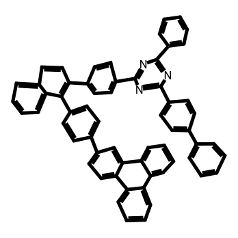 c1ccc(-c2ccc(-c3nc(-c4ccccc4)nc(-c4ccc(-c5ccc6ccccc6c5-c5ccc(-c6ccc7c8ccccc8c8ccccc8c7c6)cc5)cc4)n3)cc2)cc1